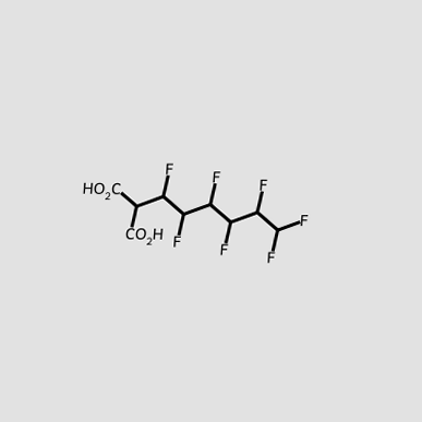 O=C(O)C(C(=O)O)C(F)C(F)C(F)C(F)C(F)C(F)F